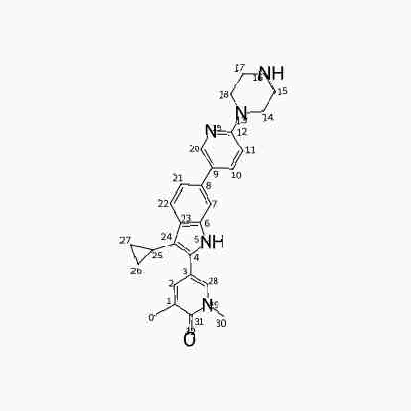 Cc1cc(-c2[nH]c3cc(-c4ccc(N5CCNCC5)nc4)ccc3c2C2CC2)cn(C)c1=O